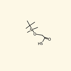 CC(C)(C)[Si](C)(C)OCC(=O)S